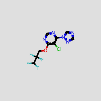 FC(F)C(F)(F)COc1ncnc(-n2cncn2)c1Cl